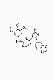 COc1cc(Nc2nccc(-c3c[nH]nc3-c3ccc4c(c3)OCO4)n2)cc(OC)c1OC